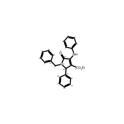 CCOC(=O)C1=C(Nc2ccccc2)C(=O)N(Cc2ccccc2)C1c1ccccc1